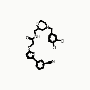 N#Cc1cccc(-c2ccc(SCC(=O)NCC3CN(Cc4ccc(Cl)c(Cl)c4)CCO3)s2)c1